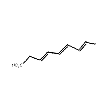 CC=CC=CC=CCC(=O)O